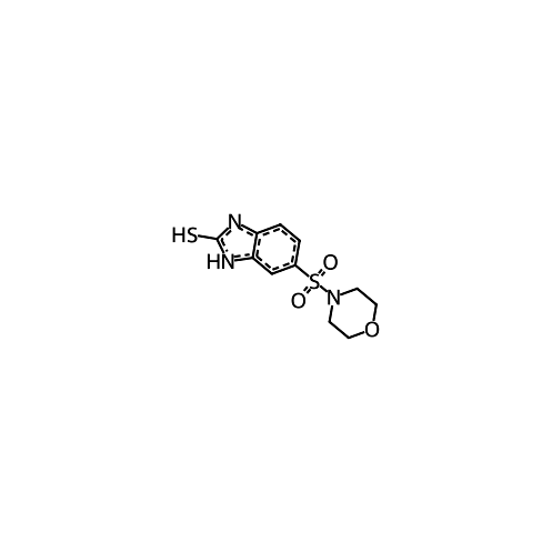 O=S(=O)(c1ccc2nc(S)[nH]c2c1)N1CCOCC1